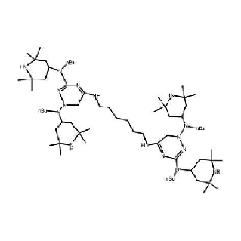 CCCCN(C1=NN(N(CCCC)C2CC(C)(C)NC(C)(C)C2)CC(NCCCCCCNC2=NC(N(CCCC)C3CC(C)(C)NC(C)(C)C3)=NN(N(CCCC)C3CC(C)(C)NC(C)(C)C3)C2)=N1)C1CC(C)(C)NC(C)(C)C1